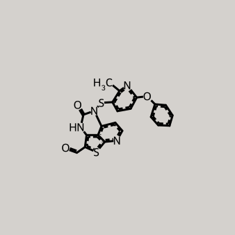 Cc1nc(Oc2ccccc2)ccc1SN1C(=O)Nc2c(C=O)sc3nccc1c23